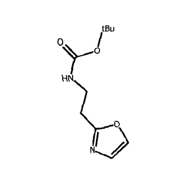 CC(C)(C)OC(=O)NCCc1ncco1